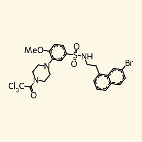 COc1ccc(S(=O)(=O)NCCc2cccc3ccc(Br)cc23)cc1N1CCN(C(=O)C(Cl)(Cl)Cl)CC1